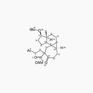 COC(=O)C1(CCC(C)=O)CC23C(CC[C@]4(C)[C@@H]2CC[C@H]4OC(C)(C)C)[C@H]3CCC1=O